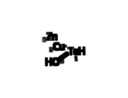 O[TeH].[Cu].[Zn]